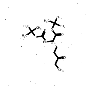 CCC(=O)CC[C@H](NC(=O)OC(C)(C)C)C(=O)OC(C)(C)C